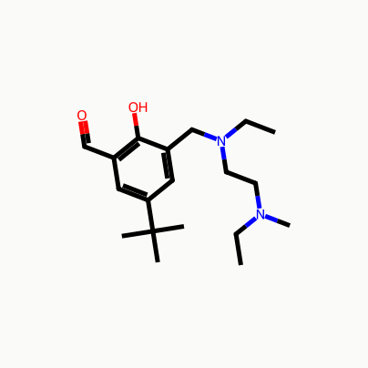 CCN(C)CCN(CC)Cc1cc(C(C)(C)C)cc(C=O)c1O